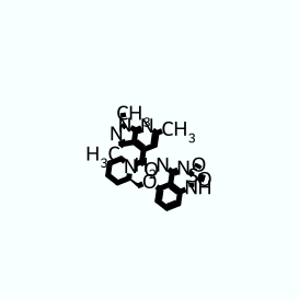 Cc1cc(C(=O)N2CCCC[C@@H]2COc2cccc3c2C(N)=NS(=O)(=O)N3)c2c(C)nn(C)c2n1